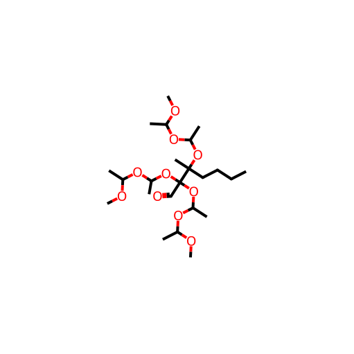 CCCCC(C)(OC(C)OC(C)OC)C(C=O)(OC(C)OC(C)OC)OC(C)OC(C)OC